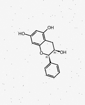 Oc1cc(O)c2c(c1)O[C@H](c1c[c][c]cc1)[C@H](O)C2